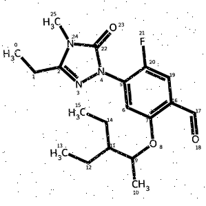 CCc1nn(-c2cc(OC(C)C(CC)CC)c(C=O)cc2F)c(=O)n1C